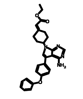 CCOC(=O)C=C1CCC(n2cc(-c3ccc(Oc4ccccc4)cc3)c3c(N)ncnc32)CC1